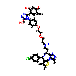 Cc1sc2c(c1C)C(c1ccc(Cl)cc1)=N[C@@H](CCNCCOCCOc1ccc(-n3c(O)nnc3-c3cc(C(C)C)c(O)cc3O)cc1)c1nnc(C)n1-2